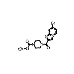 CC(C)(C)OC(=O)N1CCN(C(=O)c2cn3ccc(Br)cc3n2)CC1